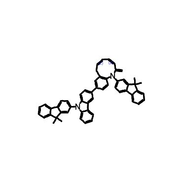 C=C1/C=C\C=C/Cc2cc(-c3ccc4c(c3)c3ccccc3n4-c3ccc4c(c3)C(C)(C)c3ccccc3-4)ccc2N1c1ccc2c(c1)C(C)(C)c1ccccc1-2